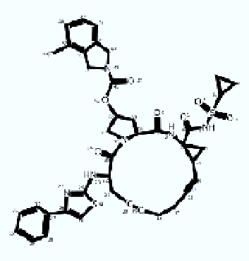 O=C1NC2(C(=O)NS(=O)(=O)C3CC3)CC2/C=C\CCCCCC(Nc2nc(-c3ccccc3)cs2)C(=O)N2CC(OC(=O)N3Cc4cccc(F)c4C3)CC12